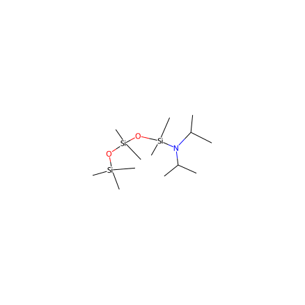 CC(C)N(C(C)C)[Si](C)(C)O[Si](C)(C)O[Si](C)(C)C